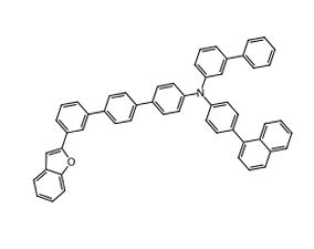 c1ccc(-c2cccc(N(c3ccc(-c4ccc(-c5cccc(-c6cc7ccccc7o6)c5)cc4)cc3)c3ccc(-c4cccc5ccccc45)cc3)c2)cc1